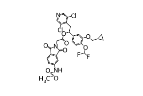 CS(=O)(=O)Nc1ccc2c(c1)C(=O)N(CC(=O)OC(Cc1c(Cl)cncc1Cl)c1ccc(OC(F)F)c(OCC3CC3)c1)C2=O